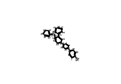 Brc1ccc(-c2ccc(-c3ccc4c(c3)c3ccccc3n4-c3ccccc3)cc2)cc1